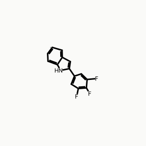 Fc1cc(-c2cc3c[c]ccc3[nH]2)cc(F)c1F